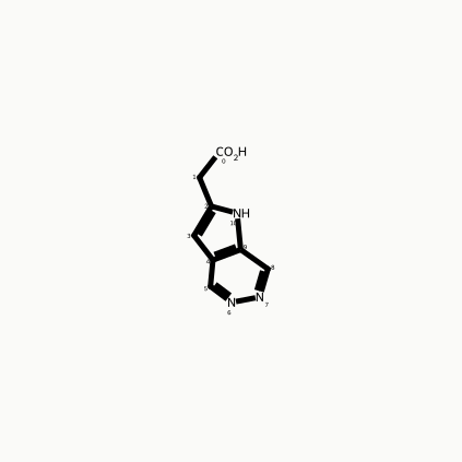 O=C(O)Cc1cc2cnncc2[nH]1